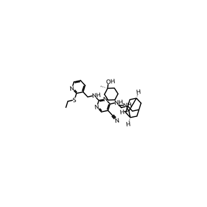 CCSc1ncccc1CNc1ncc(C#N)c(NC[C@]23CC4C[C@H](C2)[C@@H](NC[C@H]2CC[C@](C)(O)CC2)[C@@H](C4)C3)n1